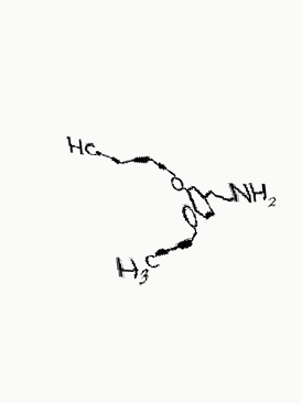 C#CC#CC#CC#CCOc1cc(CCN)ccc1OCC#CC#CC